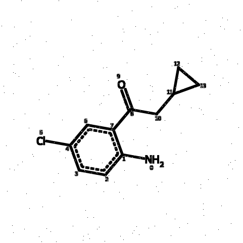 Nc1ccc(Cl)cc1C(=O)CC1CC1